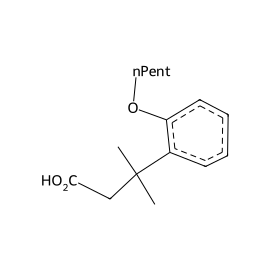 CCCCCOc1ccccc1C(C)(C)CC(=O)O